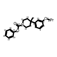 CC(C)Oc1cccc(C2(C)CCN(C(=O)Oc3ccccc3)CC2)c1